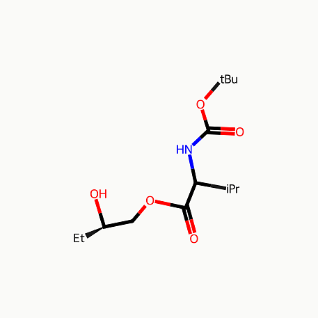 CC[C@@H](O)COC(=O)C(NC(=O)OC(C)(C)C)C(C)C